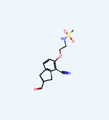 CS(=O)(=O)NCCOc1ccc2c(c1C#N)CC(C=O)C2